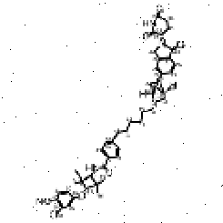 CC1(C)C(NC(=O)c2ccc(CCCCCCN3C[C@@H]4C[C@H]3CN4c3ccc4c(c3)CN([C@@H]3CCC(=O)NC3=O)C4=O)cc2)C(C)(C)C1Oc1ccc(C#N)c(Cl)c1